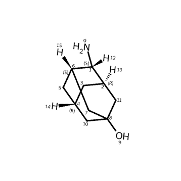 N[C@@H]1[C@@H]2C[C@H]3C[C@H]1CC(O)(C3)C2